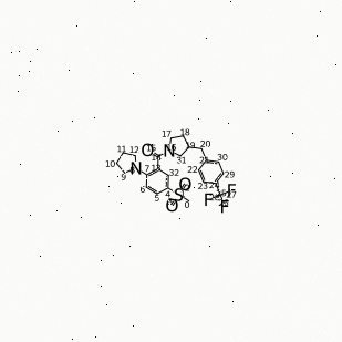 CS(=O)(=O)c1ccc(N2CCCC2)c(C(=O)N2CCC(Cc3ccc(C(F)(F)F)cc3)C2)c1